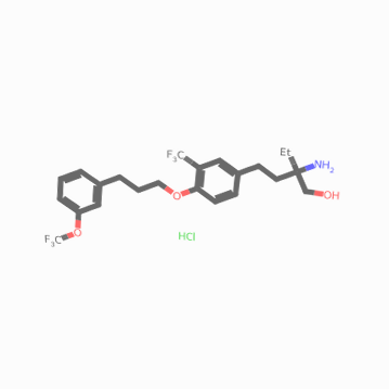 CCC(N)(CO)CCc1ccc(OCCCc2cccc(OC(F)(F)F)c2)c(C(F)(F)F)c1.Cl